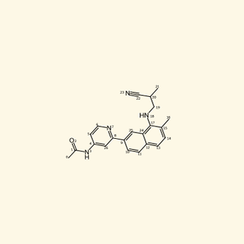 CC(=O)Nc1ccnc(-c2ccc3ccc(C)c(NCC(C)C#N)c3c2)c1